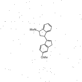 CNC1CC(C2=CCc3cc(OC)ccc32)c2ccccc21